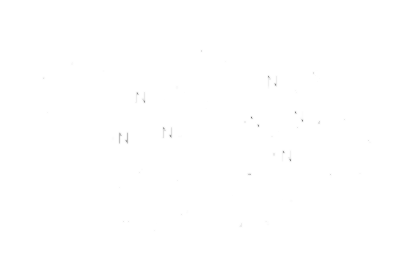 S=c1nc(-c2cccc(-c3nc(-c4ccccc4)nc(-c4ccccc4)n3)c2)nc2n(-c3ccccc3)c3ccccc3n12